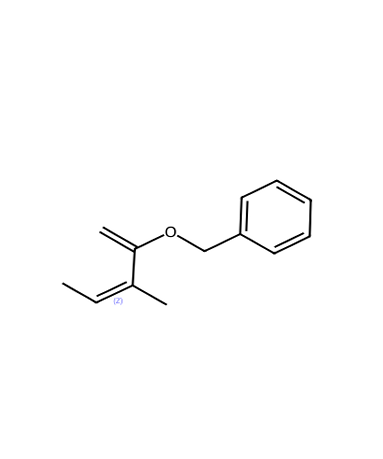 C=C(OCc1ccccc1)/C(C)=C\C